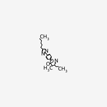 CCCCCCc1cnc(-c2ccc(OC(=O)C(C)C(C#N)CCC)cc2)nc1